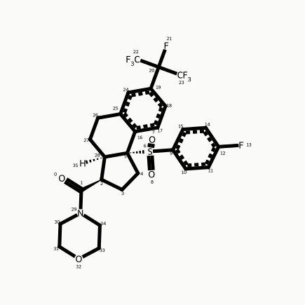 O=C([C@@H]1CC[C@]2(S(=O)(=O)c3ccc(F)cc3)c3ccc(C(F)(C(F)(F)F)C(F)(F)F)cc3CC[C@H]12)N1CCOCC1